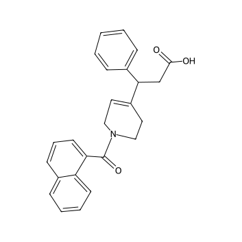 O=C(O)CC(C1=CCN(C(=O)c2cccc3ccccc23)CC1)c1ccccc1